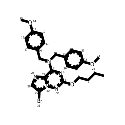 CCCCOc1nc(N(Cc2ccc(OC)cc2)Cc2ccc(OC)cc2)c2ncc(Br)n2n1